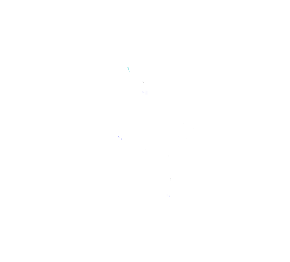 C[C@H]1[C@@H](COc2nccc3cc(C(N)=O)c(OC4CC4)cc23)NC(=O)[C@@H]1F